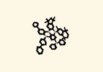 Cc1cc2c(cc1N1c3cc4c(cc3B3c5cc(-c6ccccc6)ccc5N(c5ccc(-c6ccccc6)cc5)c5cc(N(c6ccccc6)c6ccccc6)cc1c53)C(C)(C)CC4(C)C)C(C)(C)CCC2(C)C